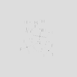 CCC(CC)(N[PH](C)(C)C)N(S(=O)(=O)C(F)(F)F)S(=O)(=O)C(F)(F)F